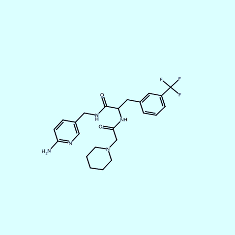 Nc1ccc(CNC(=O)C(Cc2cccc(C(F)(F)F)c2)NC(=O)CN2CCCCC2)cn1